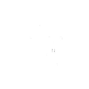 Cc1ccc(C(=O)N2CCSC2=S)cc1